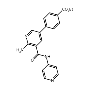 CCOC(=O)c1ccc(-c2cnc(N)c(C(=O)Nc3ccncc3)c2)cc1